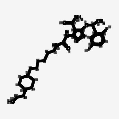 CC(Oc1nsc(NC(=O)NCCCCCCN2CCN(CCO)CC2)c1C(N)=O)c1cc(F)ccc1F